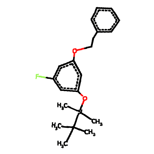 CC(C)(C)[Si](C)(C)Oc1cc(F)cc(OCc2ccccc2)c1